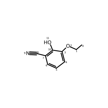 CCOc1cccc(C#N)c1O